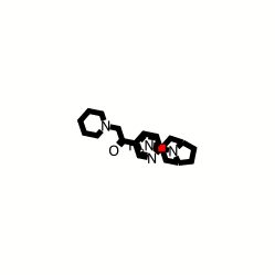 NC1CC2CCC(C1)N2c1ccc(C(=O)CN2CCCCC2)cn1